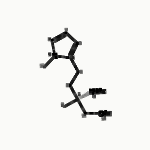 CC(=O)N[C@](C)(CCc1cccn1C)COC(C)=O